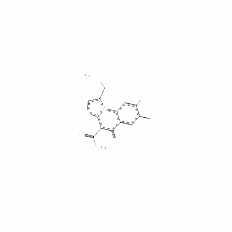 COCc1csc2c(C(=O)OC)c(=O)c3cc(F)c(Cl)cc3n12